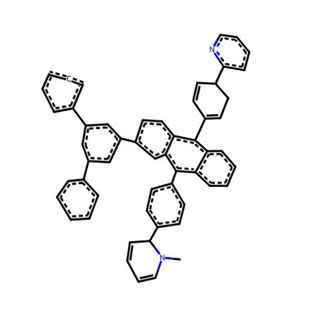 CN1C=CC=CC1c1ccc(-c2c3ccccc3c(C3=CCC(c4ccccn4)C=C3)c3ccc(-c4cc(-c5ccccc5)cc(-c5ccccc5)c4)cc23)cc1